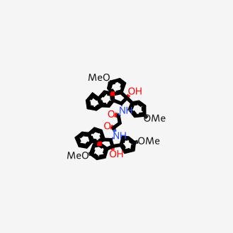 COc1ccc(C(O)(c2ccc(OC)cc2)[C@H](NC(=O)CC(=O)N[C@H](c2ccc3ccccc3c2)C(O)(c2ccc(OC)cc2)c2ccc(OC)cc2)c2ccc3ccccc3c2)cc1